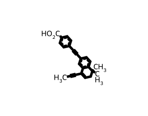 CC#CC1=CCC(C)(C)c2ccc(C#Cc3ccc(C(=O)O)cc3)cc21